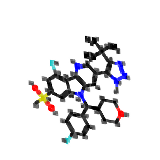 BC(B)(B)c1nnn(C)c1-c1cnc2c3c(F)cc(S(C)(=O)=O)cc3n([C@H](c3ccc(F)cc3)C3CCOCC3)c2c1